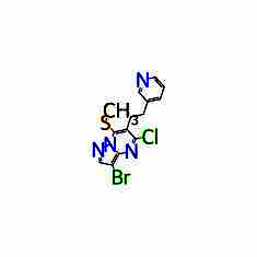 CSc1c(CCc2cccnc2)c(Cl)nc2c(Br)cnn12